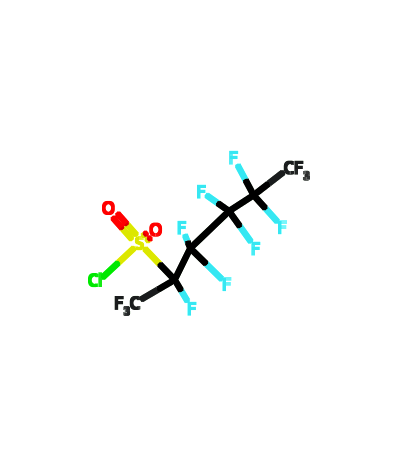 O=S(=O)(Cl)C(F)(C(F)(F)F)C(F)(F)C(F)(F)C(F)(F)C(F)(F)F